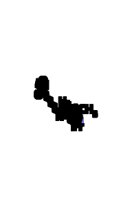 CCc1cc(C)c(/C=C\C(=O)C(C)C)cc1-c1cnc(CCCCCCC(=O)c2ccon2)[nH]1